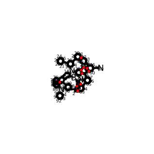 CC1(C)c2ccc3c(c2)B2c4cc5c(cc4N(c4cc(-c6ccccc6)cc(-c6ccccc6)c4)c4cc(-n6c7ccccc7c7cc(C#N)ccc76)cc(c42)N3c2c(-c3ccccc3)cccc2-c2ccccc2)-c2ccccc2C52c3ccccc3N(c3ccccc3)c3cc1ccc32